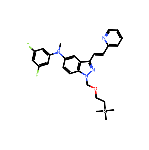 CN(c1cc(F)cc(F)c1)c1ccc2c(c1)c(C=Cc1ccccn1)nn2COCC[Si](C)(C)C